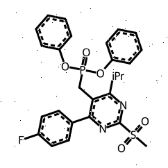 CC(C)c1nc(S(C)(=O)=O)nc(-c2ccc(F)cc2)c1CP(=O)(Oc1ccccc1)Oc1ccccc1